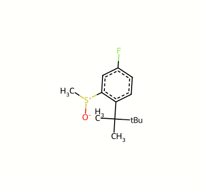 C[S+]([O-])c1cc(F)ccc1C(C)(C)C(C)(C)C